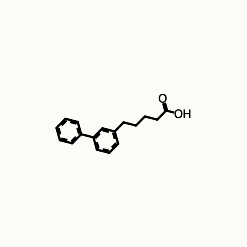 O=C(O)CCCCc1cccc(-c2ccccc2)c1